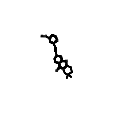 COc1ccnc(C#Cc2ccc3c(=O)n4c(nc3c2)CCC(C)(C)C4)c1